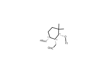 CCCCCCCCC[C@@H]1CCC(C)(C)[C@H](OCC)[C@@H]1CC=O